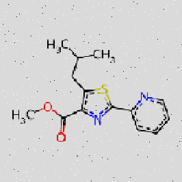 COC(=O)c1nc(-c2ccccn2)sc1CC(C)C